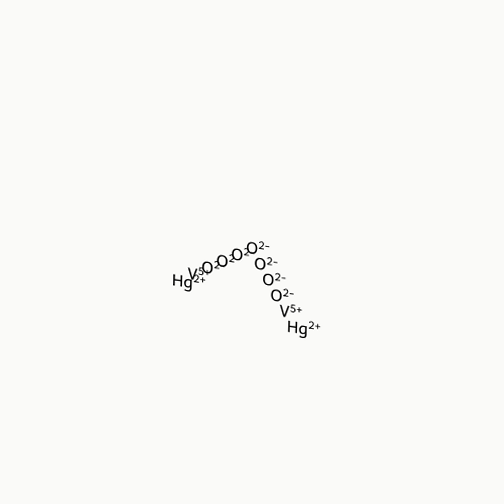 [Hg+2].[Hg+2].[O-2].[O-2].[O-2].[O-2].[O-2].[O-2].[O-2].[V+5].[V+5]